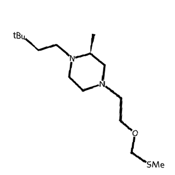 CSCOCCN1CCN(CCC(C)(C)C)[C@@H](C)C1